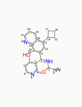 CCCC(=O)NC(c1cccnc1)c1cc(C2CCC2)c2cccnc2c1O